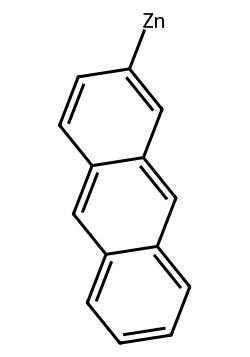 [Zn][c]1ccc2cc3ccccc3cc2c1